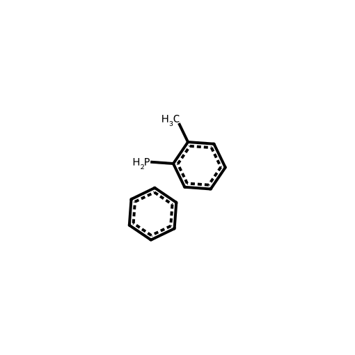 Cc1ccccc1P.c1ccccc1